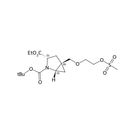 CCOC(=O)[C@@H]1C[C@]2(COCCOS(C)(=O)=O)C[C@@H]2N1C(=O)OC(C)(C)C